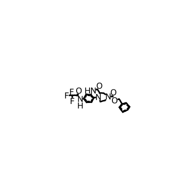 O=C1Nc2cc(NC(=O)C(F)(F)F)ccc2N2CCN(C(=O)OCc3ccccc3)CC12